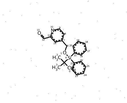 CC(C)(C)[Si](OCc1ccnc(C=O)c1)(c1ccccc1)c1ccccc1